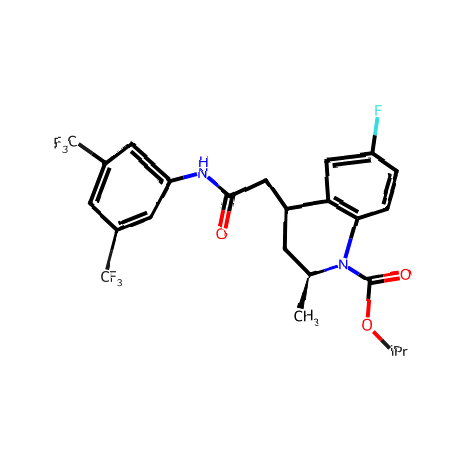 CC(C)OC(=O)N1c2ccc(F)cc2C(CC(=O)Nc2cc(C(F)(F)F)cc(C(F)(F)F)c2)C[C@@H]1C